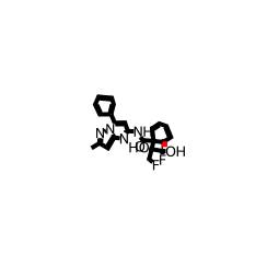 Cc1cc2nc(NC(=O)C3(C(O)(CF)C(O)(F)F)C=CC=CC3)cc(-c3ccccc3)n2n1